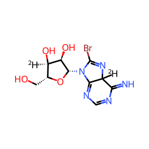 [2H]C12N=C(Br)N([C@@H]3O[C@H](CO)[C@@]([2H])(O)[C@H]3O)C1=NC=NC2=N